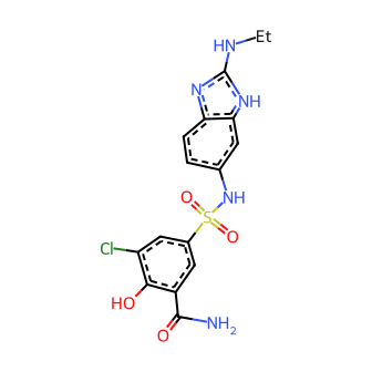 CCNc1nc2ccc(NS(=O)(=O)c3cc(Cl)c(O)c(C(N)=O)c3)cc2[nH]1